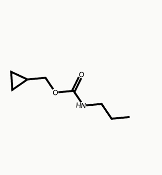 CCCNC(=O)OCC1CC1